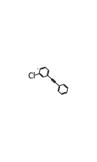 Clc1[c]ccc(C#Cc2ccccc2)c1